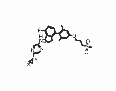 Cc1cc(OCCCS(C)(=O)=O)cc(C)c1-c1ccc(F)c2c1CC[C@H]2Nc1cnc([C@H]2C[C@@H]2C)cn1